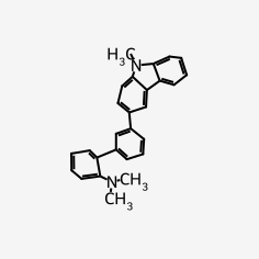 CN(C)c1ccccc1-c1cccc(-c2ccc3c(c2)c2ccccc2n3C)c1